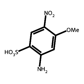 COc1cc(N)c(S(=O)(=O)O)cc1[N+](=O)[O-]